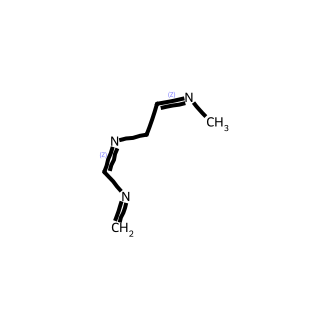 C=N/C=N\C/C=N\C